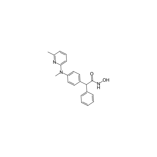 Cc1cccc(N(C)c2ccc(C(C(=O)NO)c3ccccc3)cc2)n1